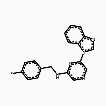 Fc1ccc(CNc2cncc(-n3cnc4ccccc43)n2)cc1